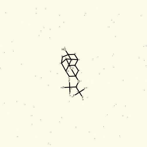 OC12CC3C4CC5(OC(C(F)(F)F)C(F)(F)F)CC3C(C1)C(C5)C4C2